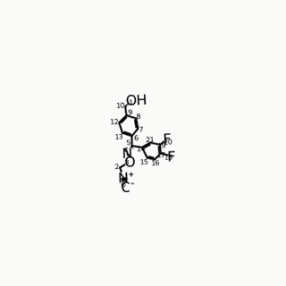 [C-]#[N+]CO/N=C(/c1ccc(CO)cc1)c1ccc(F)c(F)c1